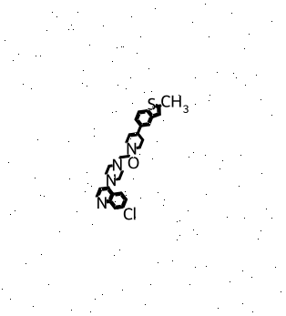 Cc1cc2cc(C3=CCN(C(=O)CN4CCN(c5ccnc6cc(Cl)ccc56)CC4)CC3)ccc2s1